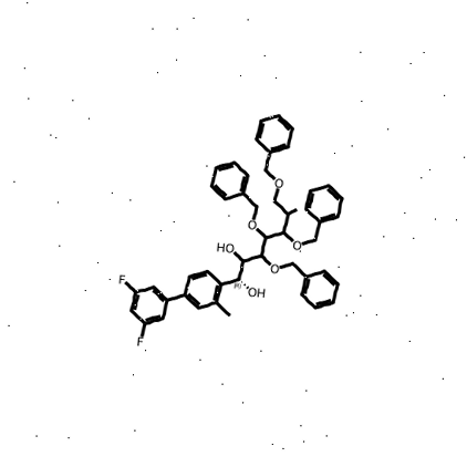 Cc1cc(-c2cc(F)cc(F)c2)ccc1[C@@H](O)C(O)C(OCc1ccccc1)C(OCc1ccccc1)C(OCc1ccccc1)C(C)COCc1ccccc1